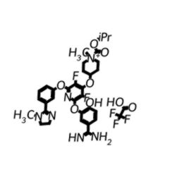 CC(C)OC(=O)[N+]1(C)CCC(Oc2c(F)c(Oc3cccc(C4=NCCN4C)c3)nc(Oc3cc(C(=N)N)ccc3O)c2F)CC1.O=C(O)C(F)(F)F